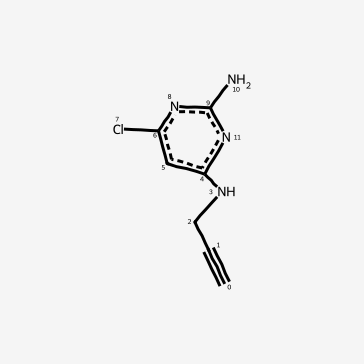 C#CCNc1cc(Cl)nc(N)n1